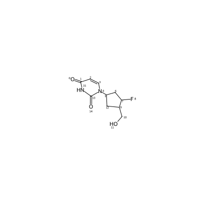 O=c1ccn(C2CC(F)C(CO)C2)c(=O)[nH]1